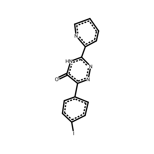 O=c1[nH]c(-c2ccccn2)nnc1-c1ccc(I)cc1